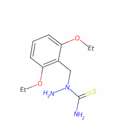 CCOc1cccc(OCC)c1CN(N)C(N)=S